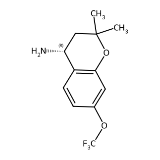 CC1(C)C[C@@H](N)c2ccc(OC(F)(F)F)cc2O1